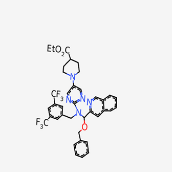 CCOC(=O)C1CCN(c2cnc(N(Cc3cc(C(F)(F)F)cc(C(F)(F)F)c3)C(OCc3ccccc3)c3cc4ccccc4cn3)nc2)CC1